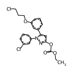 CCOC(=O)Oc1cc(-c2cccc(OCCCCl)c2)n(-c2cccc(Cl)c2)n1